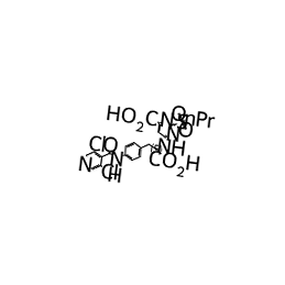 CCCS(=O)(=O)c1nc(N[C@@H](Cc2ccc(NC(=O)c3c(Cl)cncc3Cl)cc2)C(=O)O)cc(C(=O)O)n1